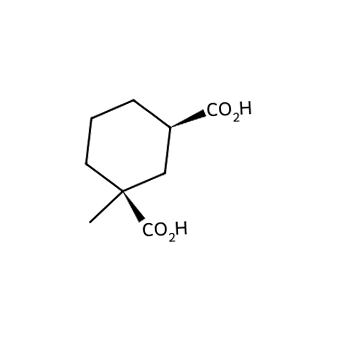 C[C@]1(C(=O)O)CCC[C@@H](C(=O)O)C1